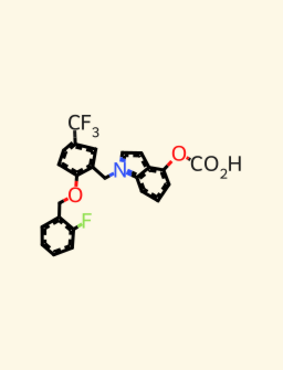 O=C(O)Oc1cccc2c1ccn2Cc1cc(C(F)(F)F)ccc1OCc1ccccc1F